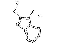 Cl.Cn1c(CCl)nc2ccccc21